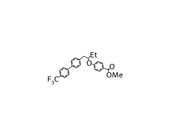 CCC(Cc1ccc(-c2ccc(C(F)(F)F)cc2)cc1)Oc1ccc(C(=O)OC)cc1